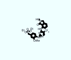 CCOP(=O)(Cc1ccc(Nc2ncc(C(F)(F)F)c(Nc3cccc4c3C(=O)N(O)C4)n2)c(OC)c1)OCC